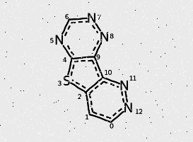 c1cc2sc3ncnnc3c2nn1